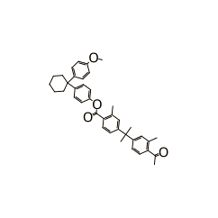 COc1ccc(C2(c3ccc(OC(=O)c4ccc(C(C)(C)c5ccc(C(C)=O)c(C)c5)cc4C)cc3)CCCCC2)cc1